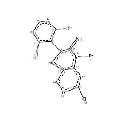 CCn1c(=N)c(-c2c(Cl)cccc2Cl)cc2cnc(Cl)cc21